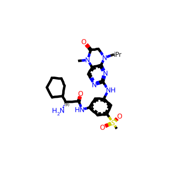 CC(C)N1CC(=O)N(C)c2cnc(Nc3cc(NC(=O)[C@H](N)C4CCCCC4)cc(S(C)(=O)=O)c3)nc21